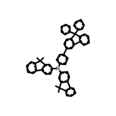 CC1(C)c2ccccc2-c2ccc(N(c3ccc(-c4ccc5c(c4)-c4ccccc4C5(c4ccccc4)c4ccccc4)cc3)c3ccc4c(c3)C(C)(C)c3ccccc3-4)cc21